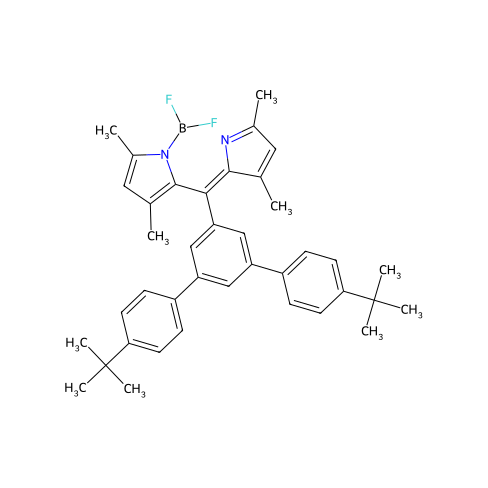 CC1=CC(C)=N/C1=C(/c1cc(-c2ccc(C(C)(C)C)cc2)cc(-c2ccc(C(C)(C)C)cc2)c1)c1c(C)cc(C)n1B(F)F